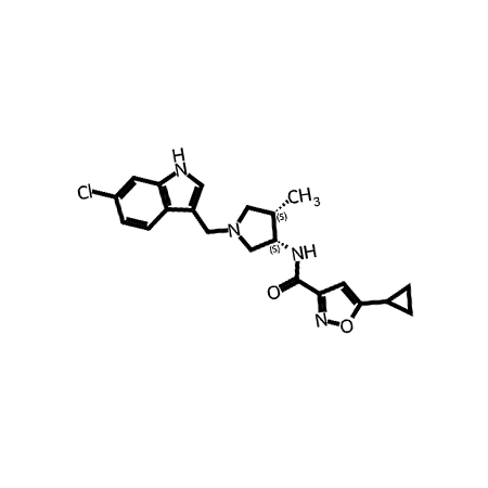 C[C@H]1CN(Cc2c[nH]c3cc(Cl)ccc23)C[C@H]1NC(=O)c1cc(C2CC2)on1